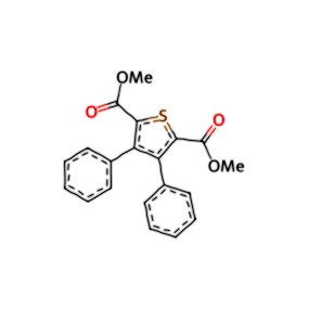 COC(=O)c1sc(C(=O)OC)c(-c2ccccc2)c1-c1ccccc1